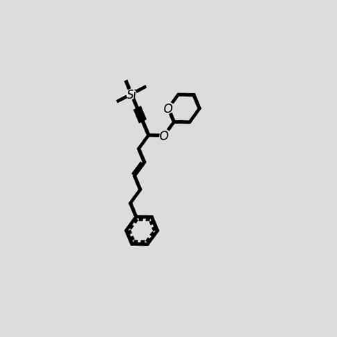 C[Si](C)(C)C#CC(CC=CCCc1ccccc1)OC1CCCCO1